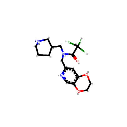 O=C(N(Cc1cc2c(cn1)OCCO2)CC1CCCNC1)C(F)(F)F